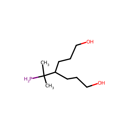 CC(C)(P)C(CCCO)CCCO